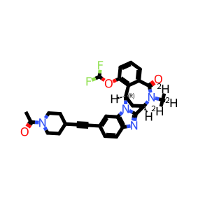 [2H]C([2H])([2H])N1C(=O)c2cccc(OC(F)F)c2[C@H]2C[C@@H]1c1nc3ccc(C#CC4CCN(C(C)=O)CC4)cc3n12